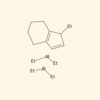 CCC1C=CC2=C1CCCC2.C[CH2][Al][CH2]C.C[CH2][Al][CH2]C